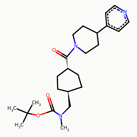 CN(C[C@H]1CC[C@H](C(=O)N2CCC(c3ccncc3)CC2)CC1)C(=O)OC(C)(C)C